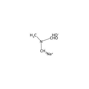 CN(C)C=O.[Na+].[OH-]